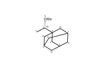 CO[C@@H](C)C12CC3CC(CC(C3)C1)C2